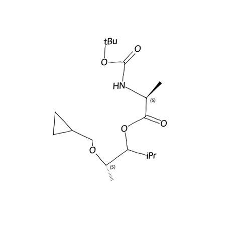 CC(C)C(OC(=O)[C@H](C)NC(=O)OC(C)(C)C)[C@H](C)OCC1CC1